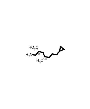 C[C@@H](CCCC1CC1)C[C@H](CN)C(=O)O